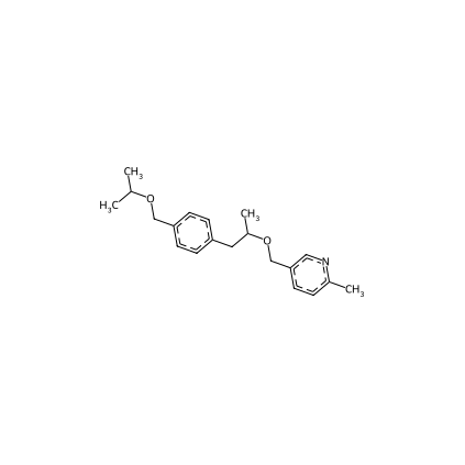 Cc1ccc(COC(C)Cc2ccc(COC(C)C)cc2)cn1